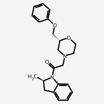 C[C@@H]1Cc2ccccc2N1C(=O)CN1CCO[C@@H](COc2ccccc2)C1